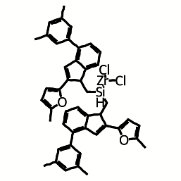 Cc1cc(C)cc(-c2cccc3c2C=C(c2ccc(C)o2)C3C[SiH](CC2C(c3ccc(C)o3)=Cc3c(-c4cc(C)cc(C)c4)cccc32)[Zr]([Cl])[Cl])c1